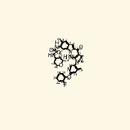 Cc1cc2cc(C(=O)c3cnn(-c4cnc(Oc5ccccc5F)cc4C)c3N)[nH]c2cc1NS(=O)(=O)NC1CCOCC1